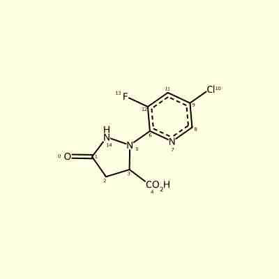 O=C1CC(C(=O)O)N(c2ncc(Cl)cc2F)N1